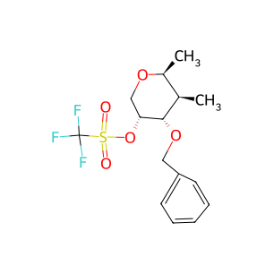 C[C@H]1[C@H](OCc2ccccc2)[C@H](OS(=O)(=O)C(F)(F)F)CO[C@H]1C